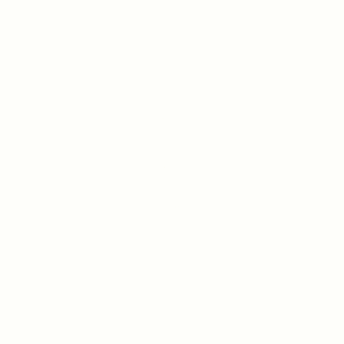 Cc1ccc(-c2cc(F)c(-c3cc(F)c(F)c(F)c3)c(P)c2)cc1